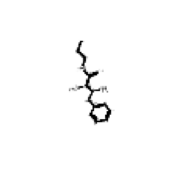 CCCNC(=O)[C@H](O)[C@@H](N)Cc1ccccc1